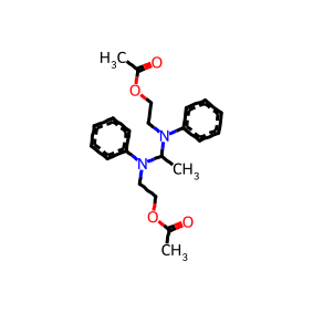 CC(=O)OCCN(c1ccccc1)C(C)N(CCOC(C)=O)c1ccccc1